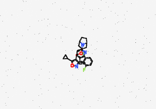 N#Cc1ccc(N2C3CCC2CC(OCc2c(-c4c(F)cccc4F)noc2C2CC2)C3)nc1